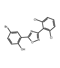 Oc1ccc(Br)cc1-c1nc(-c2c(Cl)cccc2Cl)no1